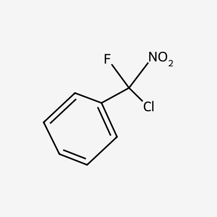 O=[N+]([O-])C(F)(Cl)c1ccccc1